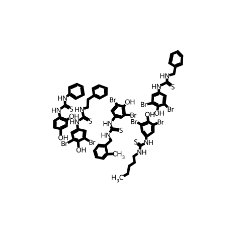 CCCCCNC(=S)Nc1cc(Br)c(O)c(Br)c1.Cc1ccccc1CNC(=S)Nc1cc(Br)c(O)c(Br)c1.Oc1c(Br)cc(NC(=S)NCCc2ccccc2)cc1Br.Oc1c(Br)cc(NC(=S)NCc2ccccc2)cc1Br.Oc1ccc(NC(=S)Nc2ccccc2)c(O)c1